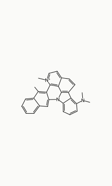 Cc1c2ccccc2cc2c1c1c3c(ccc4c5c(N(C)C)cccc5n2c43)cc[n+]1C